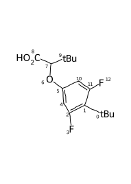 CC(C)(C)c1c(F)cc(OC(C(=O)O)C(C)(C)C)cc1F